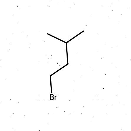 C[C](C)CCBr